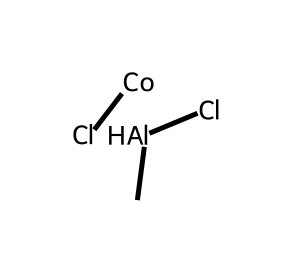 [CH3][AlH][Cl].[Cl][Co]